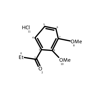 CCC(=O)c1cccc(OC)c1OC.Cl